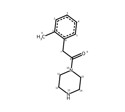 Cc1ccccc1CC(=O)N1CCNCC1